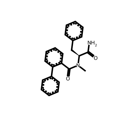 CN(C(=O)c1ccccc1-c1ccccc1)[C@@H](Cc1ccccc1)C(N)=O